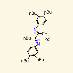 CCCCC(=N\c1ccc(CCCC)c(CCCC)c1)/C(C)=N/c1ccc(CCCC)c(CCCC)c1.[Pd]